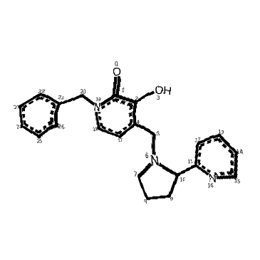 O=c1c(O)c(CN2CCCC2c2ccccn2)ccn1Cc1ccccc1